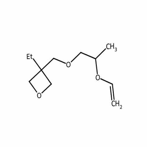 C=COC(C)COCC1(CC)COC1